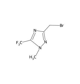 Cn1nc(CBr)nc1C(F)(F)F